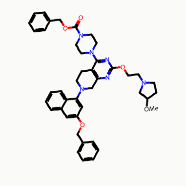 COC1CCN(CCOc2nc3c(c(N4CCN(C(=O)OCc5ccccc5)CC4)n2)CCN(c2cc(OCc4ccccc4)cc4ccccc24)C3)C1